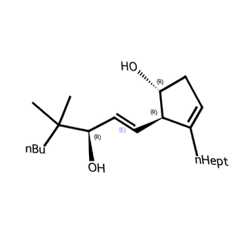 CCCCCCCC1=CC[C@@H](O)[C@@H]1/C=C/[C@@H](O)C(C)(C)CCCC